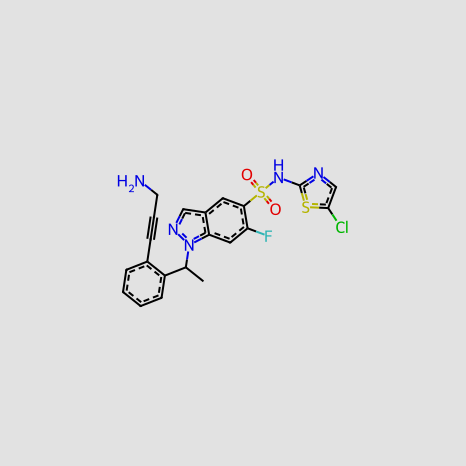 CC(c1ccccc1C#CCN)n1ncc2cc(S(=O)(=O)Nc3ncc(Cl)s3)c(F)cc21